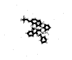 Cc1cccc(C)c1B1c2ccc3ccc(CCC(F)(F)F)c4c3c2N(C(=O)O4)c2c1nc(-c1ccccc1)nc2-c1ccccc1